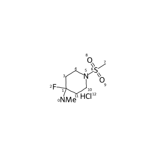 CNC1(F)CCN(S(C)(=O)=O)CC1.Cl